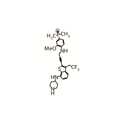 COc1cc(P(C)(C)=O)ccc1NCC#Cc1sc2c(NC3CCNCC3)cccc2c1CC(F)(F)F